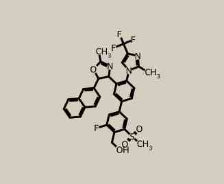 CC1=NC(c2cc(-c3cc(F)c(CO)c(S(C)(=O)=O)c3)ccc2-n2cc(C(F)(F)F)nc2C)C(c2ccc3ccccc3c2)O1